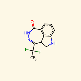 O=C1NN=C(C(F)(F)C(F)(F)F)C2CNc3cccc1c32